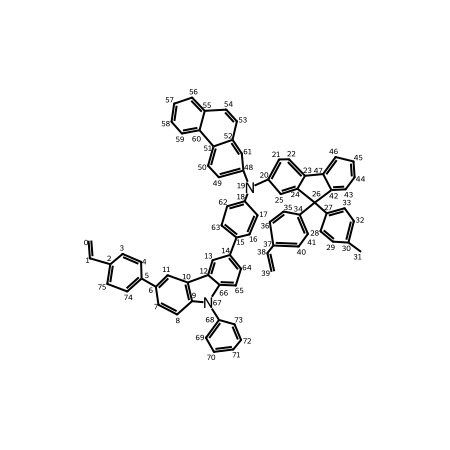 C=Cc1ccc(-c2ccc3c(c2)c2cc(-c4ccc(N(c5ccc6c(c5)C(c5ccc(C)cc5)(c5ccc(C=C)cc5)c5ccccc5-6)c5ccc6c(ccc7ccccc76)c5)cc4)ccc2n3-c2ccccc2)cc1